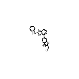 ClCc1nc2cc(-c3nccc4nc(Nc5ccccc5)nn34)ccc2[nH]1